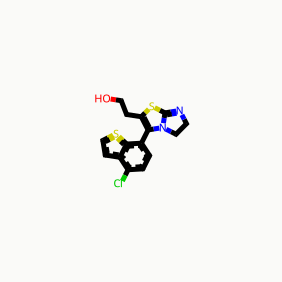 OCCC1=C(c2ccc(Cl)c3ccsc23)N2CCN=C2S1